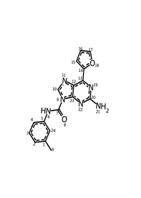 Cc1cccc(NC(=O)n2cnc3c(-c4ccco4)nc(N)nc32)c1